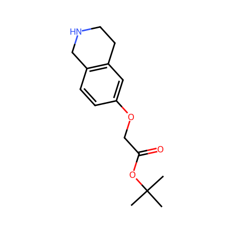 CC(C)(C)OC(=O)COc1ccc2c(c1)CCNC2